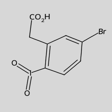 O=C(O)Cc1cc(Br)ccc1I(=O)=O